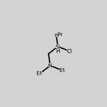 CCC[SiH](Cl)CN(CC)CC